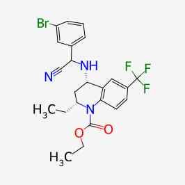 CCOC(=O)N1c2ccc(C(F)(F)F)cc2[C@@H](NC(C#N)c2cccc(Br)c2)C[C@H]1CC